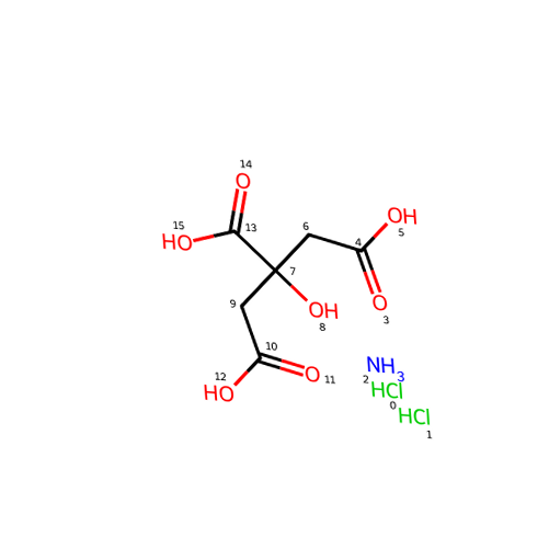 Cl.Cl.N.O=C(O)CC(O)(CC(=O)O)C(=O)O